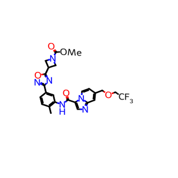 COC(=O)N1CC(c2nc(-c3ccc(C)c(NC(=O)c4cnc5cc(COCC(F)(F)F)ccn45)c3)no2)C1